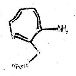 CCCCCSc1ncccc1N